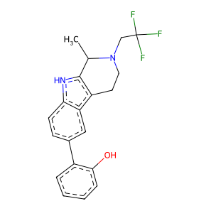 CC1c2[nH]c3ccc(-c4ccccc4O)cc3c2CCN1CC(F)(F)F